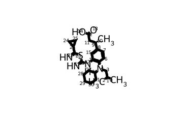 CC(C)CN(c1ccc([C@H](C)CC(=O)O)cc1NC(=N)SC(=N)C1CC1)C1CCCCC1